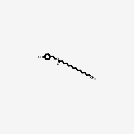 CCCCCCCCCCCCCCC(=O)OCCc1ccc(O)cc1